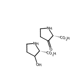 O=C(O)[C@H]1NCCC1=O.O=C(O)[C@H]1NCCC1O